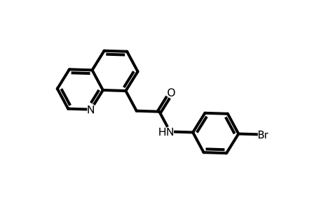 O=C(Cc1cccc2cccnc12)Nc1ccc(Br)cc1